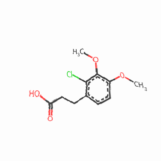 COc1ccc(CCC(=O)O)c(Cl)c1OC